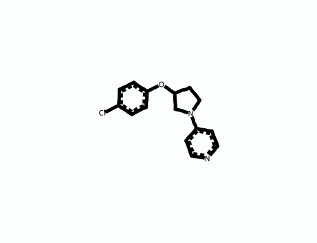 Clc1ccc(OC2CCN(c3ccncc3)C2)cc1